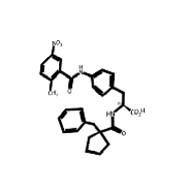 Cc1ccc([N+](=O)[O-])cc1C(=O)Nc1ccc(C[C@H](NC(=O)C2(Cc3ccccc3)CCCC2)C(=O)O)cc1